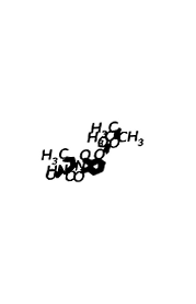 CCCC(C(=O)NC=O)N1C(=O)c2cccc(OCC(=O)OC(C)(C)CC)c2C1=O